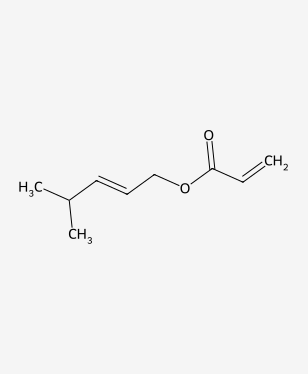 C=CC(=O)OCC=CC(C)C